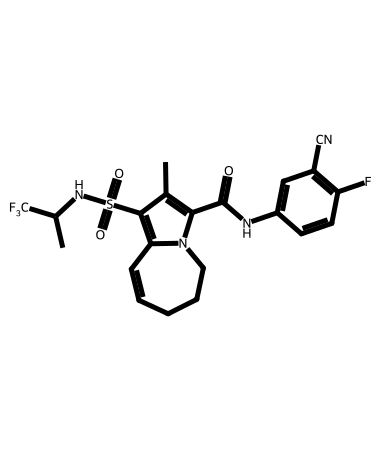 Cc1c(S(=O)(=O)NC(C)C(F)(F)F)c2n(c1C(=O)Nc1ccc(F)c(C#N)c1)CCCC=C2